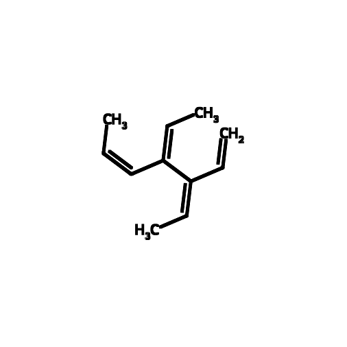 C=CC(=C/C)/C(/C=C\C)=C\C